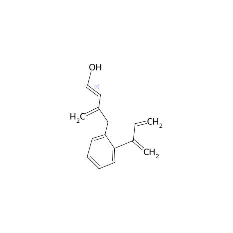 C=CC(=C)c1ccccc1CC(=C)/C=C/O